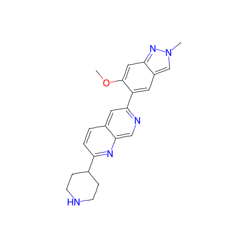 COc1cc2nn(C)cc2cc1-c1cc2ccc(C3CCNCC3)nc2cn1